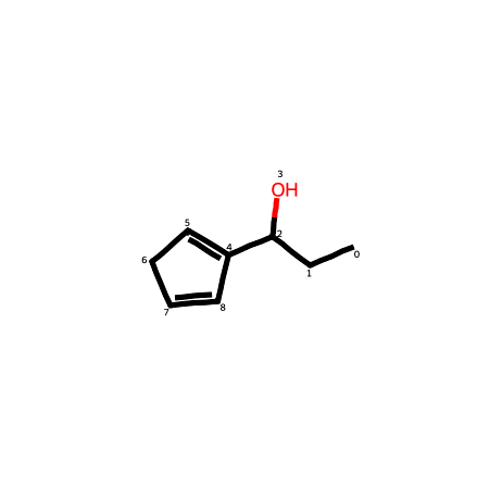 CCC(O)C1=[C]CC=C1